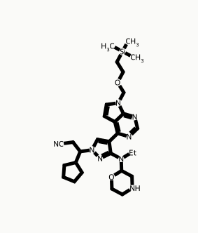 CCN(c1nn(C(CC#N)C2CCCC2)cc1-c1ncnc2c1ccn2COCC[Si](C)(C)C)C1CNCCO1